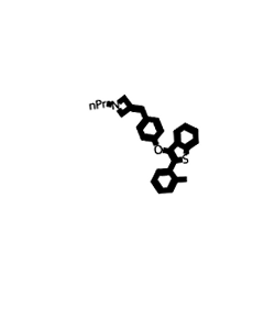 CCCN1CC(=Cc2ccc(Oc3c(-c4ccccc4C)sc4ccccc34)cc2)C1